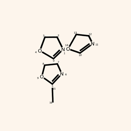 C1=NCCO1.C1=NCCO1.C1=NCCO1.CC